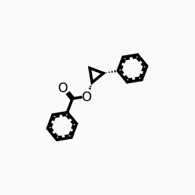 O=C(O[C@@H]1C[C@@H]1c1ccccc1)c1ccccc1